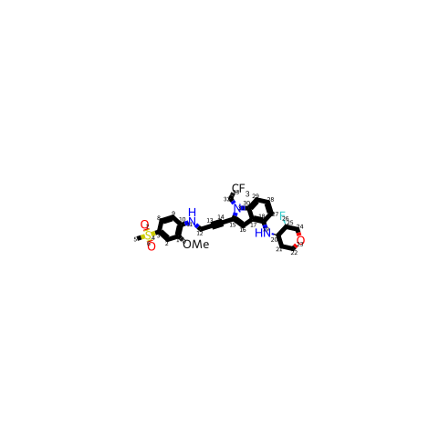 COc1cc(S(C)(=O)=O)ccc1NCC#Cc1cc2c(N[C@H]3CCOC[C@H]3F)cccc2n1CC(F)(F)F